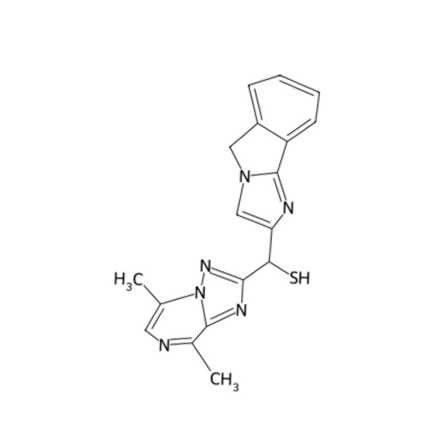 Cc1ncc(C)n2nc(C(S)c3cn4c(n3)-c3ccccc3C4)nc12